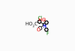 O=C(O)c1cc(Cl)cc(-c2c(C3CCOCC3)n(-c3ccc(F)cc3)c3cccc(O)c23)c1